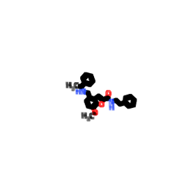 COc1ccc(CNC(C)c2ccccc2)c2cc(C(=O)NCCc3ccccc3)oc12